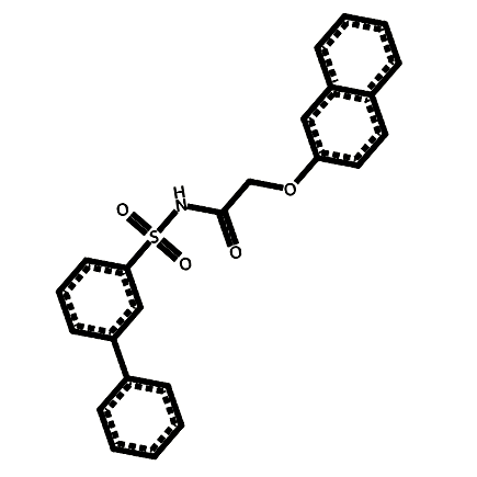 O=C(COc1ccc2ccccc2c1)NS(=O)(=O)c1cccc(-c2ccccc2)c1